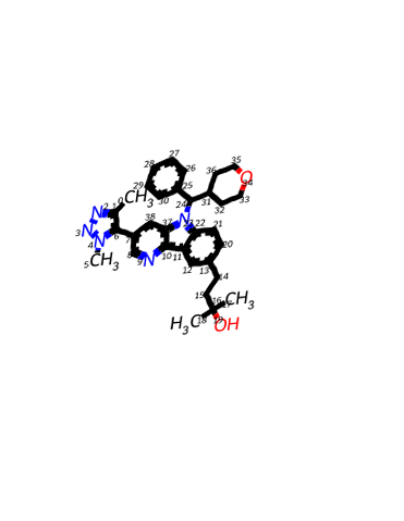 Cc1nnn(C)c1-c1cnc2c3cc(CCC(C)(C)O)ccc3n(C(c3ccccc3)C3CCOCC3)c2c1